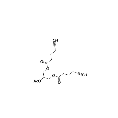 C#CCCCC(=O)OCC(COC(=O)CCCC#C)OC(C)=O